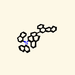 C1=C(N(c2cc3ccc(-c4cc5cc6ccccc6cc5c5ccccc45)c4ccc5c(c2CCC=5)c34)c2cccc3ccccc23)c2ccccc2CC1